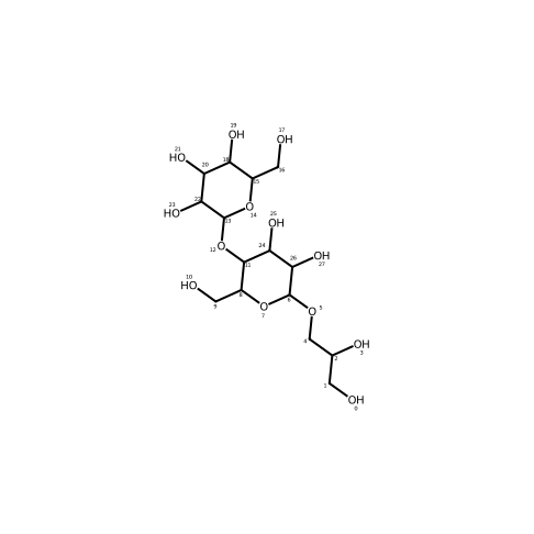 OCC(O)COC1OC(CO)C(OC2OC(CO)C(O)C(O)C2O)C(O)C1O